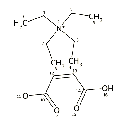 CC[N+](CC)(CC)CC.O=C([O-])/C=C\C(=O)O